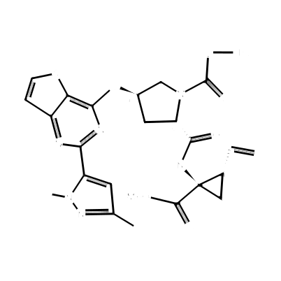 C=C[C@@H]1C[C@]1(NC(=O)[C@@H]1C[C@@H](Oc2nc(-c3cc(C)nn3C)nc3ccsc23)CN1C(=O)OC(C)(C)C)C(=O)OC